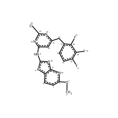 COc1ccc2nc(Nc3cc(Cc4ccc(F)c(F)c4F)nc(Cl)n3)sc2n1